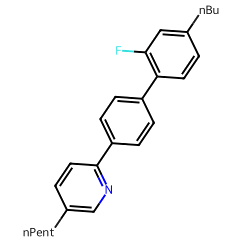 CCCCCc1ccc(-c2ccc(-c3ccc(CCCC)cc3F)cc2)nc1